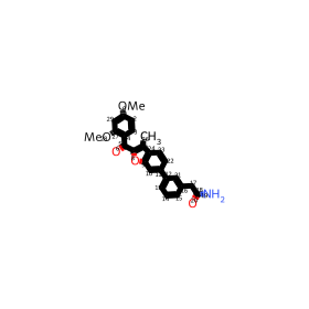 COc1ccc(C(=O)c2oc3cc(-c4cccc(CC(N)=O)c4)ccc3c2C)c(OC)c1